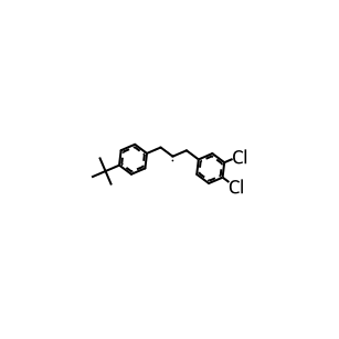 CC(C)(C)c1ccc(C[CH]Cc2ccc(Cl)c(Cl)c2)cc1